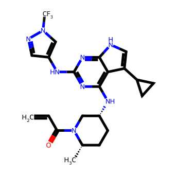 C=CC(=O)N1C[C@H](Nc2nc(Nc3cnn(C(F)(F)F)c3)nc3[nH]cc(C4CC4)c23)CC[C@@H]1C